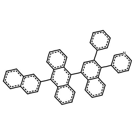 c1ccc(-c2cc(-c3c4ccccc4c(-c4ccc5ccccc5c4)c4ccccc34)c3ccccc3c2-c2cccnc2)cc1